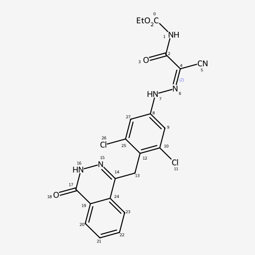 CCOC(=O)NC(=O)/C(C#N)=N\Nc1cc(Cl)c(Cc2n[nH]c(=O)c3ccccc23)c(Cl)c1